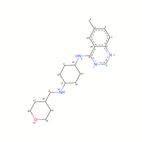 Cc1ccc2ncnc(NC3CCC(NCC4CCOCC4)CC3)c2c1